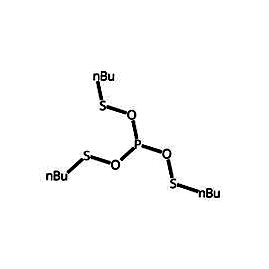 CCCCSOP(OSCCCC)OSCCCC